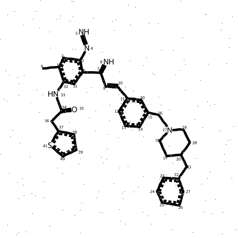 Cc1cc(N=N)c(C(=N)/C=C/c2cccc(CN3CCC(Cc4ccccc4)CC3)c2)cc1NC(=O)Cc1cccs1